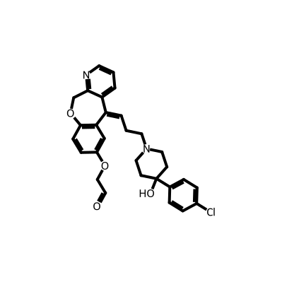 O=CCOc1ccc2c(c1)C(=CCCN1CCC(O)(c3ccc(Cl)cc3)CC1)c1cccnc1CO2